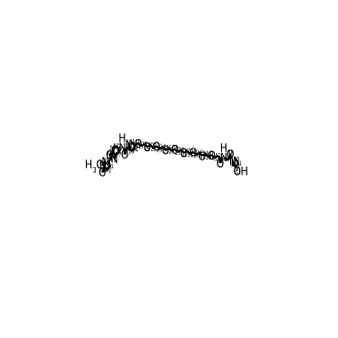 Cn1nc(-c2nc3cc(NC(=O)c4ccc(OCCOCCOCCOCCOCCOCCOCCOCCOCCC(=O)NCC(=O)N5CC[C@@H](O)C5)cn4)ccc3o2)ccc1=O